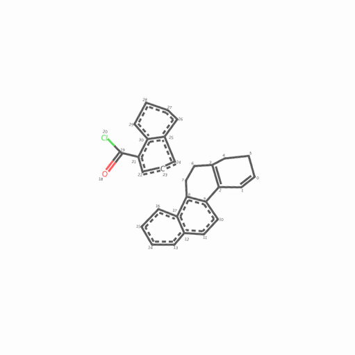 C1=CC2=C(CC1)CCc1c2ccc2ccccc12.O=C(Cl)c1cccc2ccccc12